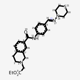 CCOC(=O)CN1CCc2ccc(C(=O)Nc3ccc(/C=N/N4CCSCC4)cc3)cc2C1